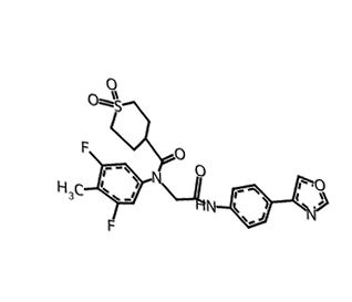 Cc1c(F)cc(N(CC(=O)Nc2ccc(-c3cocn3)cc2)C(=O)C2CCS(=O)(=O)CC2)cc1F